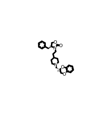 O=C1OC[C@H](Cc2ccccc2)N1CCC1CCN(C[C@H]2COc3ccccc3O2)CC1